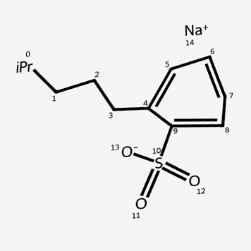 CC(C)CCCc1ccccc1S(=O)(=O)[O-].[Na+]